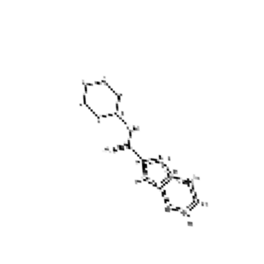 O=C(OC1CCCCC1)c1cc2cncnc2s1